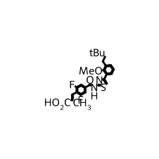 COc1c(CCC(C)(C)C)cccc1-c1csc(NC(=O)c2cc(F)c(/C=C(\C)C(=O)O)c(F)c2)n1